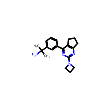 CC(C)(N)c1cccc(-c2nc(N3CCC3)nc3c2CCC3)c1